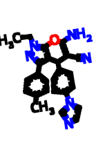 CCn1nc(-c2ccc(C)cc2)c2c1OC(N)=C(C#N)C2c1ccc(-n2ccnc2)cc1